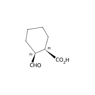 O=C[C@H]1CCCC[C@H]1C(=O)O